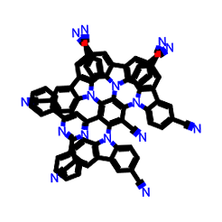 N#Cc1ccc2c(c1)c1cc(C#N)ccc1n2-c1c(C#N)c(-n2c3ccc(C#N)cc3c3cc(C#N)ccc32)c(-n2c3ccc(C#N)cc3c3cc(C#N)ccc32)c(-n2c3ccc(C#N)cc3c3cc(C#N)ccc32)c1-c1cc(-c2ccccc2)nc(-c2ccccc2)n1